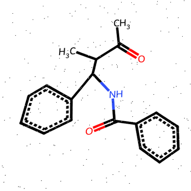 CC(=O)C(C)C(NC(=O)c1ccccc1)c1ccccc1